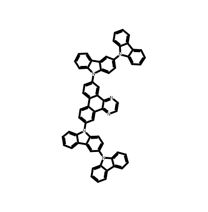 c1ccc2c(c1)c1ccccc1n2-c1ccc2c(c1)c1ccccc1n2-c1ccc2c3ccc(-n4c5ccccc5c5cc(-n6c7ccccc7c7ccccc76)ccc54)cc3c3nccnc3c2c1